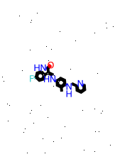 Cc1cc(N/C=C2/C(=O)Nc3cc(F)ccc32)ccc1NCc1ccccn1